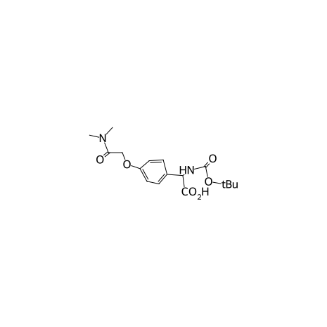 CN(C)C(=O)COc1ccc(C(NC(=O)OC(C)(C)C)C(=O)O)cc1